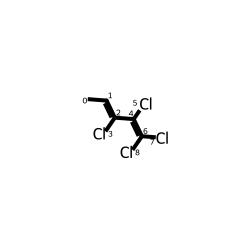 CC=C(Cl)C(Cl)=C(Cl)Cl